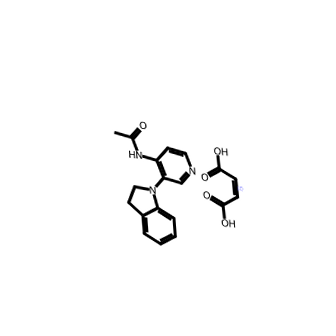 CC(=O)Nc1ccncc1N1CCc2ccccc21.O=C(O)/C=C\C(=O)O